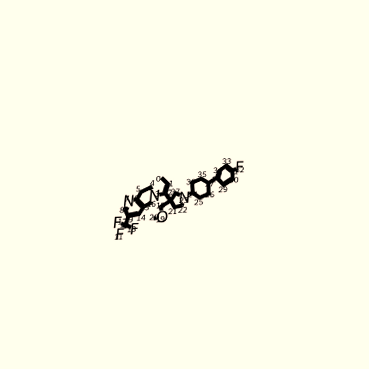 C/C=C(\N1CCc2ncc(C(F)(F)F)cc2C1)C1(COC)CCN(C2CCC(c3ccc(F)cc3)CC2)C1